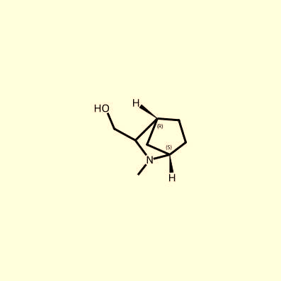 CN1C(CO)[C@@H]2CC[C@H]1C2